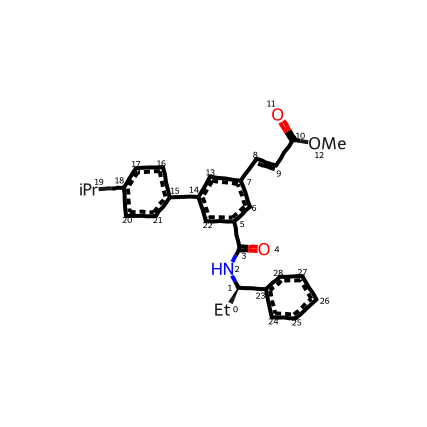 CC[C@@H](NC(=O)c1cc(/C=C/C(=O)OC)cc(-c2ccc(C(C)C)cc2)c1)c1ccccc1